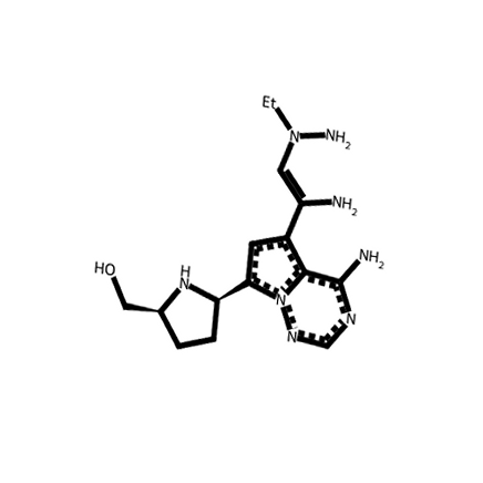 CCN(N)/C=C(\N)c1cc([C@H]2CC[C@@H](CO)N2)n2ncnc(N)c12